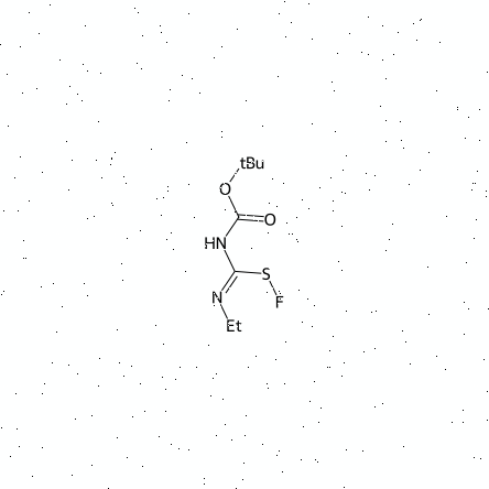 CC/N=C(/NC(=O)OC(C)(C)C)SF